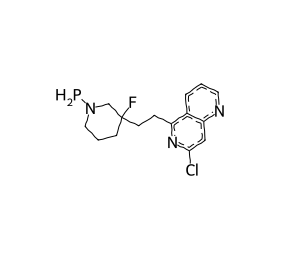 FC1(CCc2nc(Cl)cc3ncccc23)CCCN(P)C1